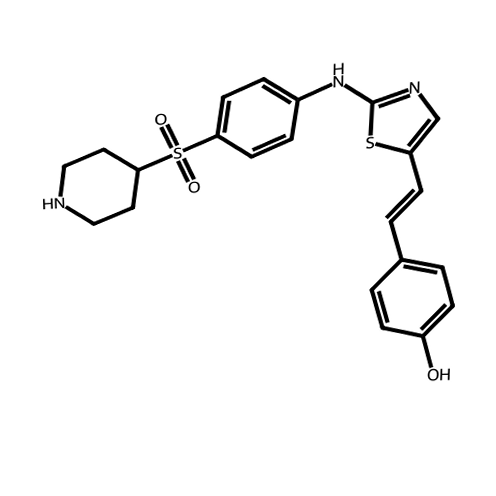 O=S(=O)(c1ccc(Nc2ncc(C=Cc3ccc(O)cc3)s2)cc1)C1CCNCC1